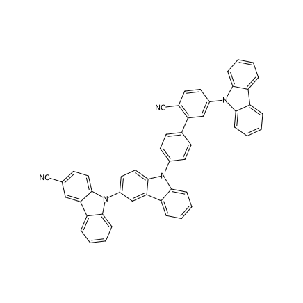 N#Cc1ccc2c(c1)c1ccccc1n2-c1ccc2c(c1)c1ccccc1n2-c1ccc(-c2cc(-n3c4ccccc4c4ccccc43)ccc2C#N)cc1